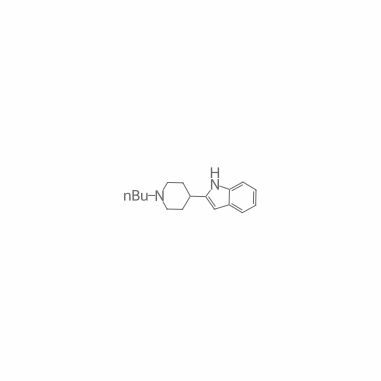 [CH2]CCCN1CCC(c2cc3ccccc3[nH]2)CC1